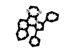 c1ccc(-c2cc(-c3ccccc3)n3c4nccnc4c4ccc5ccccc5c4c23)cc1